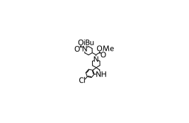 COC(=O)C(C1CCN(C(=O)OCC(C)C)CC1)N1CCC2(CC1)CNc1cc(Cl)ccc12